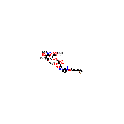 CO[C@H]1C(COS(=O)(=O)O)O[C@@H](O[C@@H]2C(C(=O)O)O[C@@H](OCC(O)[C@@H](O)[C@@H](O)C(O)CNc3cccc(NOCCCCCC4CCSS4)c3)C(OS(=O)(=O)O)[C@@H]2O)C(NS(=O)(=O)O)[C@@H]1O